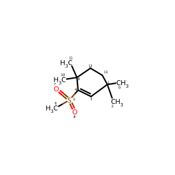 CC1(C)C=C(S(C)(=O)=O)C(C)(C)CC1